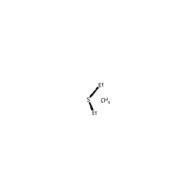 C.CCSCC